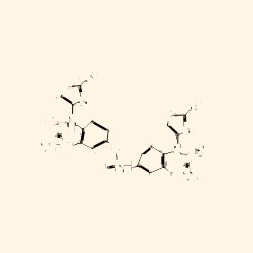 COc1cc(O[PH](=O)Oc2ccc(N(c3csc(Br)n3)[SH](=O)=O)c(OC)c2)ccc1N(c1csc(Br)n1)[SH](=O)=O